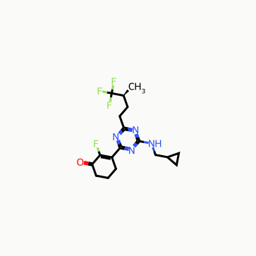 C[C@@H](CCc1nc(NCC2CC2)nc(C2=C(F)C(=O)CCC2)n1)C(F)(F)F